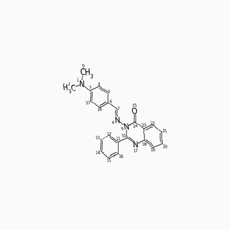 CN(C)c1ccc(/C=N/n2c(-c3ccccc3)nc3ccccc3c2=O)cc1